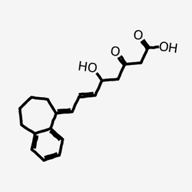 O=C(O)CC(=O)CC(O)/C=C/C=C1\CCCCc2ccccc21